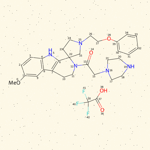 COc1ccc2[nH]c3c(c2c1)CCN(C(=O)CN1CCNCC1)C31CCN(CCOc2ccccc2)C1.O=C(O)C(F)(F)F